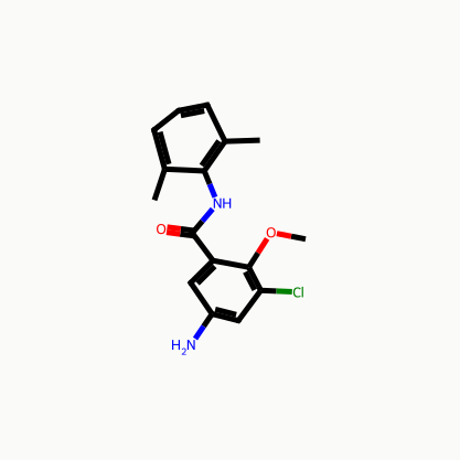 COc1c(Cl)cc(N)cc1C(=O)Nc1c(C)cccc1C